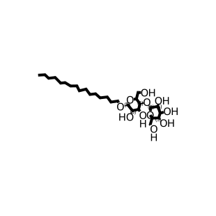 CCCCCCCCCCCCCCCCO[C@@H]1OC(CO)[C@@H](O[C@H]2OC(CO)[C@@H](O)C(O)[C@@H]2O)C(O)[C@@H]1O